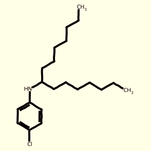 CCCCCCCC(CCCCCCC)Nc1ccc(Cl)cc1